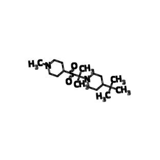 CN1CCC(S(=O)(=O)C(C)(C)N2CCC(C(C)(C)C)CC2)CC1